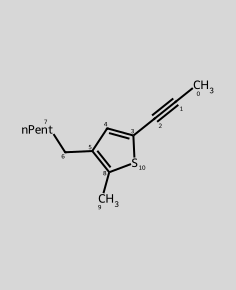 CC#Cc1cc(CCCCCC)c(C)s1